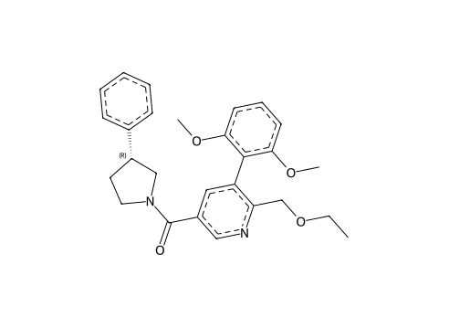 CCOCc1ncc(C(=O)N2CC[C@H](c3ccccc3)C2)cc1-c1c(OC)cccc1OC